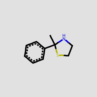 CC1(c2ccccc2)NCCS1